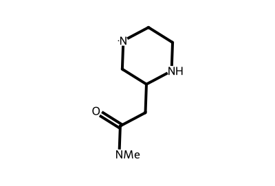 CNC(=O)CC1C[N]CCN1